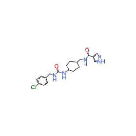 O=C(NCc1ccc(Cl)cc1)NC1CCC(CNC(=O)c2cn[nH]c2)CC1